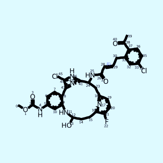 COC(=O)Nc1ccc2c(c1)NC(O)CCc1nc(ccc1F)CC(NC(=O)/C=C/Cc1cc(Cl)ccc1C(C)=O)c1nc-2c(Cl)[nH]1